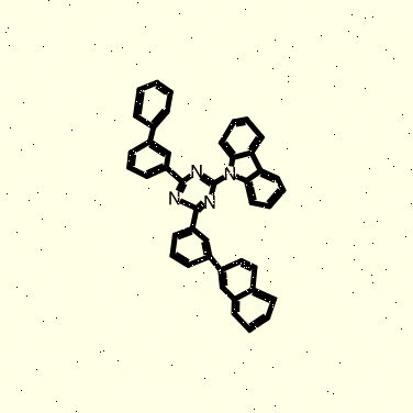 c1ccc(-c2cccc(-c3nc(-c4cccc(-c5ccc6ccccc6c5)c4)nc(-n4c5ccccc5c5ccccc54)n3)c2)cc1